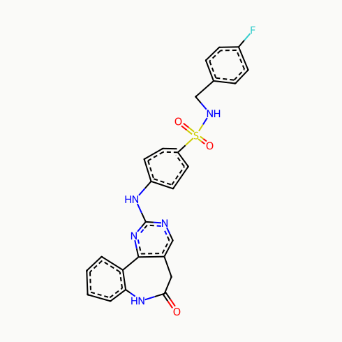 O=C1Cc2cnc(Nc3ccc(S(=O)(=O)NCc4ccc(F)cc4)cc3)nc2-c2ccccc2N1